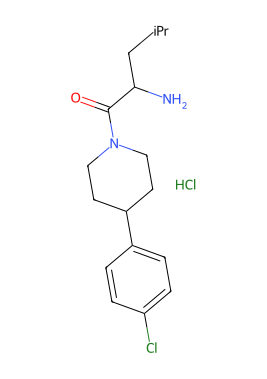 CC(C)CC(N)C(=O)N1CCC(c2ccc(Cl)cc2)CC1.Cl